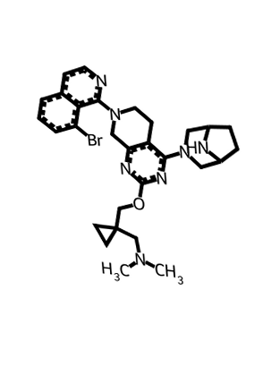 CN(C)CC1(COc2nc3c(c(N4CC5CCC(C4)N5)n2)CCN(c2nccc4cccc(Br)c24)C3)CC1